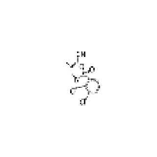 CC(=CC#N)CN1C(=O)c2c(Cl)cccc2S1(=O)=O